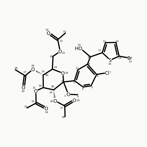 COC1(c2ccc(Cl)c(C(O)c3ccc(Br)s3)c2)OC(COC(C)=O)[C@@H](OC(C)=O)C(OC(C)=O)[C@H]1OC(C)=O